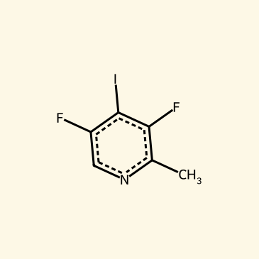 Cc1ncc(F)c(I)c1F